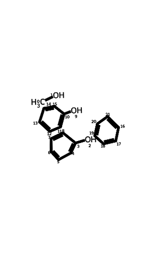 CO.Oc1ccccc1.Oc1ccccc1.c1ccccc1